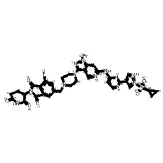 CC(C)n1nc(N2CCN(Cc3cc(F)c4c(c3)C(=O)N(C3CCC(=O)NC3=O)C4=O)CC2)c2cnc(Nc3ccnc(-c4cnn(S(=O)(=O)C5CC5)c4)n3)cc21